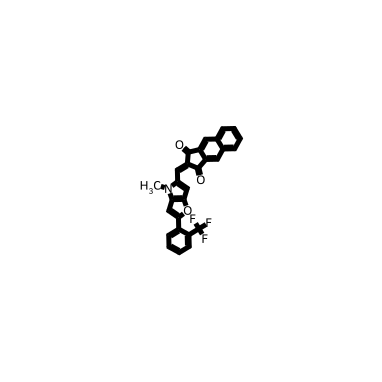 Cn1c(C=C2C(=O)c3cc4ccccc4cc3C2=O)cc2oc(-c3ccccc3C(F)(F)F)cc21